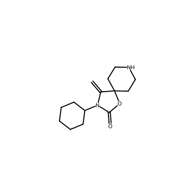 C=C1N(C2CCCCC2)C(=O)OC12CCNCC2